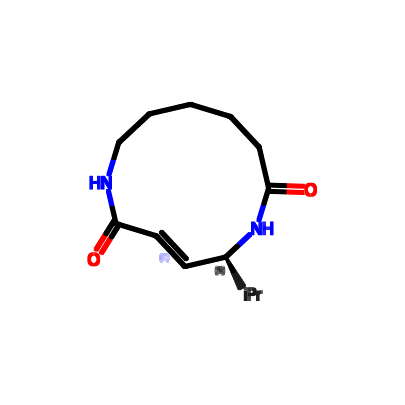 CC(C)[C@H]1/C=C/C(=O)NCCCCCC(=O)N1